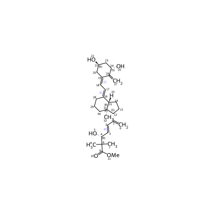 C=C(/C=C/[C@@H](O)C(C)(C)C(=O)OC)[C@H]1CC[C@H]2/C(=C/C=C3/C[C@@H](O)C[C@H](O)C3=C)CCC[C@]12C